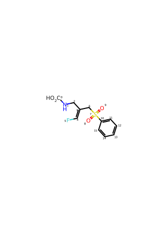 O=C(O)NCC(=CF)CS(=O)(=O)c1ccccc1